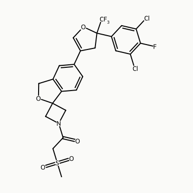 CS(=O)(=O)CC(=O)N1CC2(C1)OCc1cc(C3=COC(c4cc(Cl)c(F)c(Cl)c4)(C(F)(F)F)C3)ccc12